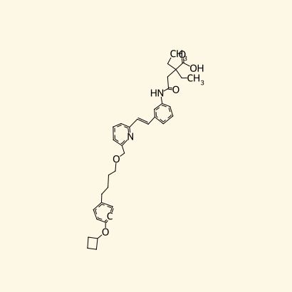 CCC(CC)(CC(=O)Nc1cccc(C=Cc2cccc(COCCCCc3ccc(OC4CCC4)cc3)n2)c1)C(=O)O